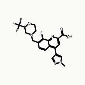 Cn1cc(-c2cc(C(=O)O)nc3c(F)c(CN4CCOC(C(F)(F)F)C4)ccc23)cn1